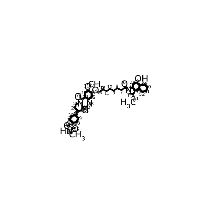 CC[C@@H]1CN(C(=O)CCCCCCCOc2cc3c(cc2OC)C(=O)N2CC=C(c4ccc(S(=O)(=O)NC)cc4)C[C@H]2C=N3)c2cc(O)c3ccccc3c21